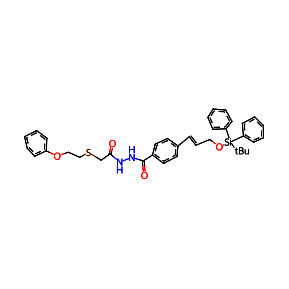 CC(C)(C)[Si](OCC=Cc1ccc(C(=O)NNC(=O)CSCCOc2ccccc2)cc1)(c1ccccc1)c1ccccc1